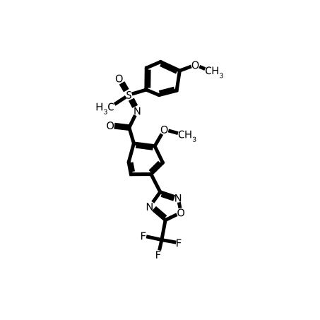 COc1ccc(S(C)(=O)=NC(=O)c2ccc(-c3noc(C(F)(F)F)n3)cc2OC)cc1